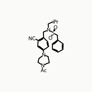 CC(=O)N1CCN(c2ccc(CN(CC(C)C)S(=O)(=O)Cc3ccccc3)c(C#N)c2)CC1